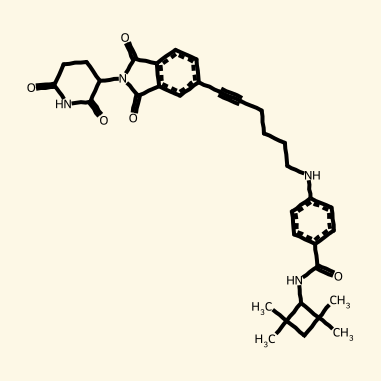 CC1(C)CC(C)(C)C1NC(=O)c1ccc(NCCCCC#Cc2ccc3c(c2)C(=O)N(C2CCC(=O)NC2=O)C3=O)cc1